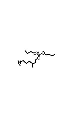 CCCCO[SiH](OCCCC)OCCC(C)CCCN(C)C